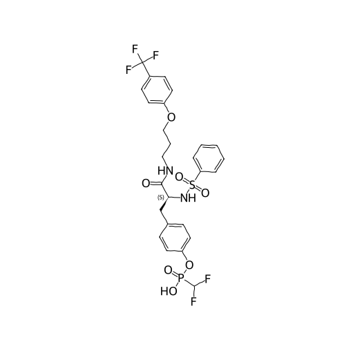 O=C(NCCCOc1ccc(C(F)(F)F)cc1)[C@H](Cc1ccc(OP(=O)(O)C(F)F)cc1)NS(=O)(=O)c1ccccc1